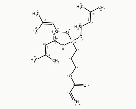 C=CC(=O)OCCC[Si](O[SiH2]C=C(C)C)(O[SiH2]C=C(C)C)O[SiH2]C=C(C)C